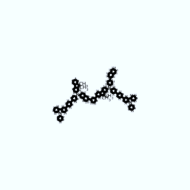 CC1(C)c2ccccc2-c2ccc(N(c3ccc(-c4ccc(-c5ccc6c(c5)c5ccccc5n6-c5ccccc5)cc4)cc3)c3ccc4cc(-c5cccc(-c6ccc7c(c6)C(C)(C)c6cc(N(c8ccc(-c9ccc(-c%10ccc%11c(c%10)c%10ccccc%10n%11-c%10ccccc%10)cc9)cc8)c8ccc(-c9ccc%10ccccc%10c9)cc8)ccc6-7)c5)ccc4c3)cc21